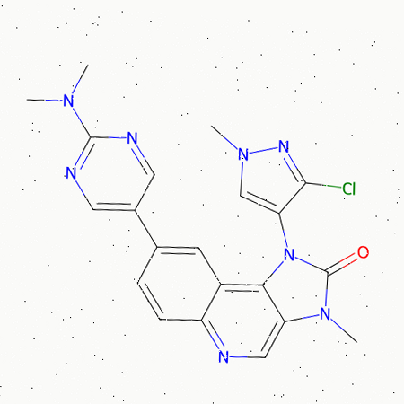 CN(C)c1ncc(-c2ccc3ncc4c(c3c2)n(-c2cn(C)nc2Cl)c(=O)n4C)cn1